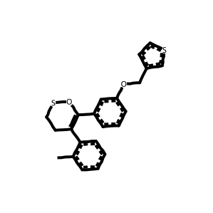 Cc1ccccc1C1=C(c2cccc(OCc3ccsc3)c2)OSCC1